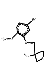 COc1ccc(Br)cc1SCC1(C)COC1